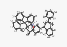 C=C(C1=C(/C=C\C)C2(c3ccccc3O1)c1ccccc1-c1ccccc12)c1ccc(-c2nc(-c3ccccc3)nc3ccccc23)cc1